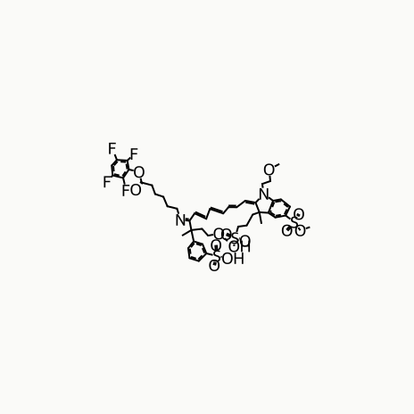 COCCN1/C(=C/C=C/C=C/C=C/C(=N\CCCCCC(=O)Oc2c(F)c(F)cc(F)c2F)C(C)(CCOC)c2cccc(S(=O)(=O)O)c2)C(C)(CCCS(=O)(=O)O)c2cc(S(=O)(=O)OC)ccc21